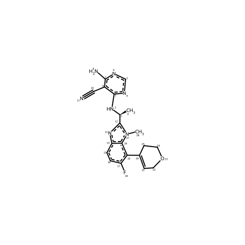 C[C@H](Nc1ncnc(N)c1C#N)c1nc2ccc(F)c(C3=CCOCC3)c2n1C